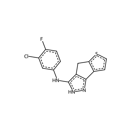 Fc1ccc(Nc2[nH]nc3c2Cc2sccc2-3)cc1Cl